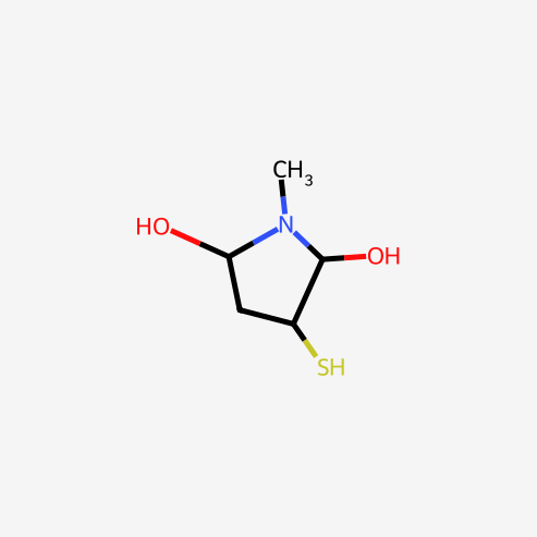 CN1C(O)CC(S)C1O